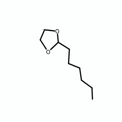 CCCCCCC1O[CH]CO1